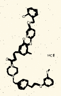 COc1cccc(OCCc2ccc(CN3CCN(C(=O)/C=C/c4cc(C)c(Oc5ccc(OCc6ccccc6Cl)cn5)c(Cl)c4)CC3)cc2)c1.Cl